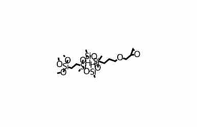 CO[Si](CC[Si]1(C)O[SiH](C)O[Si](C)(CCCOCC2CO2)O[SiH](C)O1)(OC)OC